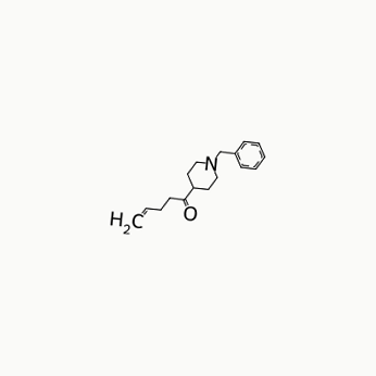 C=CCCC(=O)C1CCN(Cc2ccccc2)CC1